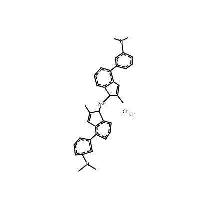 CC1=Cc2c(-c3cccc(N(C)C)c3)cccc2[CH]1[Zr+2][CH]1C(C)=Cc2c(-c3cccc(N(C)C)c3)cccc21.[Cl-].[Cl-]